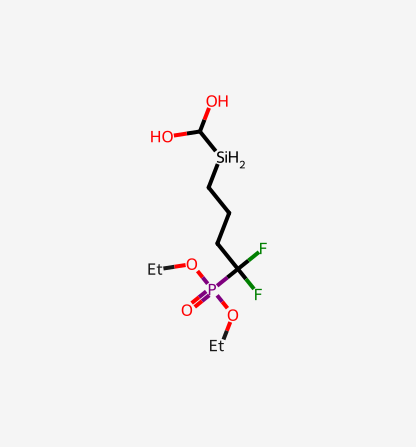 CCOP(=O)(OCC)C(F)(F)CCC[SiH2]C(O)O